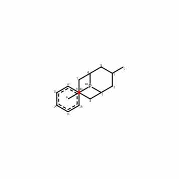 CC1CC2CC(C)CC(C1)P2c1ccccc1